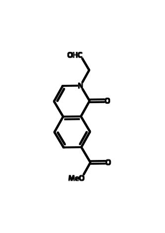 COC(=O)c1ccc2ccn(CC=O)c(=O)c2c1